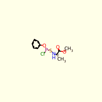 COC(=O)[C@H](C)NSP(Cl)Oc1ccccc1